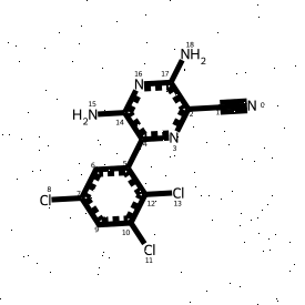 N#Cc1nc(-c2cc(Cl)cc(Cl)c2Cl)c(N)nc1N